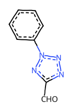 O=Cc1nnn(-c2ccccc2)n1